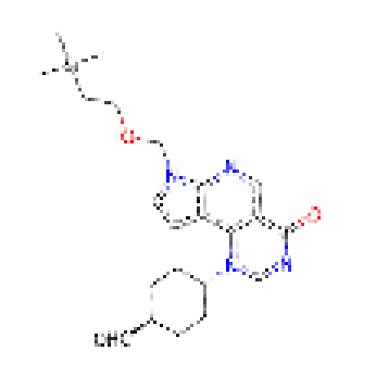 C[Si](C)(C)CCOCn1ccc2c1ncc1c(=O)ncn([C@H]3CC[C@H](C=O)CC3)c12